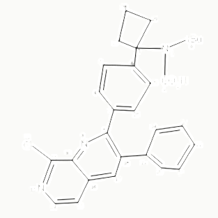 CC(C)(C)N(C(=O)O)C1(c2ccc(-c3nc4c(Cl)nccc4cc3-c3ccccc3)cc2)CCC1